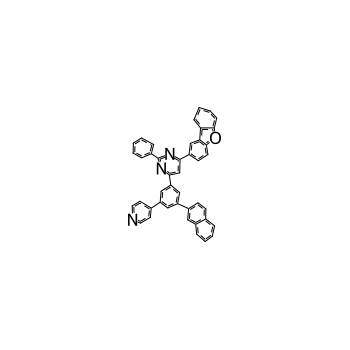 c1ccc(-c2nc(-c3cc(-c4ccncc4)cc(-c4ccc5ccccc5c4)c3)cc(-c3ccc4oc5ccccc5c4c3)n2)cc1